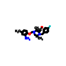 Cc1ccc(OCN2C[C@@H](C)N(Cc3ccc(F)cc3)C(=C=O)[C@@H]2C)c(N)c1